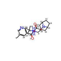 Cc1cncc(C(=O)NCC2CC3CCC(C2)N3CC(=O)NC(C)(C)C)c1